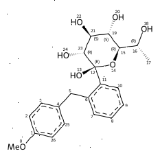 COc1ccc(Cc2ccccc2[C@@]2(O)O[C@H]([C@@H](C)O)[C@@H](O)[C@H](O)[C@H]2O)cc1